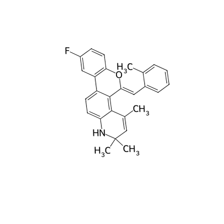 CC1=CC(C)(C)Nc2ccc3c(c21)C(=Cc1ccccc1C)Oc1ccc(F)cc1-3